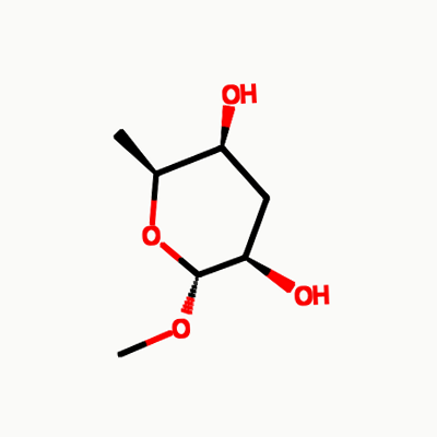 CO[C@@H]1O[C@@H](C)[C@@H](O)C[C@H]1O